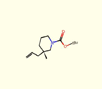 C=CC[C@]1(C)CCCN(C(=O)OC(C)(C)C)C1